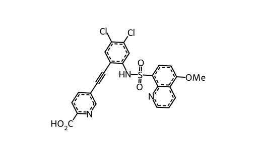 COc1ccc(S(=O)(=O)Nc2cc(Cl)c(Cl)cc2C#Cc2ccc(C(=O)O)nc2)c2ncccc12